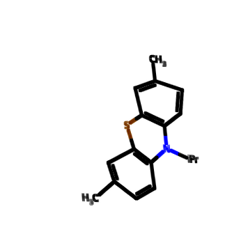 Cc1ccc2c(c1)Sc1cc(C)ccc1N2C(C)C